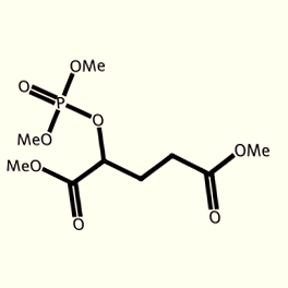 COC(=O)CCC(OP(=O)(OC)OC)C(=O)OC